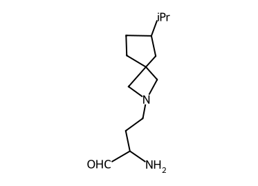 CC(C)C1CCC2(C1)CN(CCC(N)C=O)C2